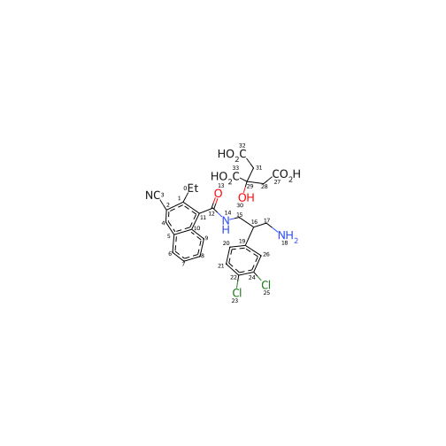 CCc1c(C#N)cc2ccccc2c1C(=O)NCC(CN)c1ccc(Cl)c(Cl)c1.O=C(O)CC(O)(CC(=O)O)C(=O)O